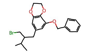 CC(C)C(CBr)Cc1cc2c(c(OCc3ccccc3)c1)OCCO2